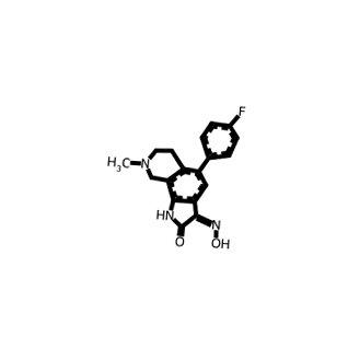 CN1CCc2c(-c3ccc(F)cc3)cc3c(c2C1)NC(=O)/C3=N\O